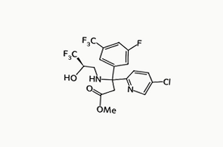 COC(=O)CC(NC[C@@H](O)C(F)(F)F)(c1cc(F)cc(C(F)(F)F)c1)c1ccc(Cl)cn1